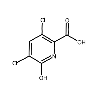 O=C(O)c1nc(O)c(Cl)cc1Cl